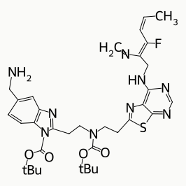 C=N/C(CNc1ncnc2sc(CCN(CCc3nc4cc(CN)ccc4n3C(=O)OC(C)(C)C)C(=O)OC(C)(C)C)nc12)=C(F)\C=C/C